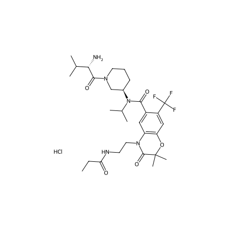 CCC(=O)NCCN1C(=O)C(C)(C)Oc2cc(C(F)(F)F)c(C(=O)N(C(C)C)[C@@H]3CCCN(C(=O)[C@@H](N)C(C)C)C3)cc21.Cl